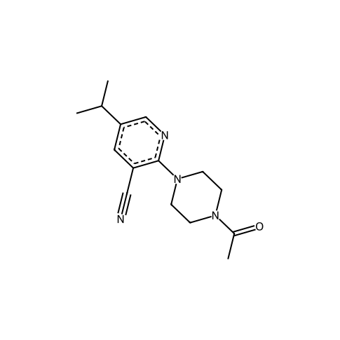 CC(=O)N1CCN(c2ncc(C(C)C)cc2C#N)CC1